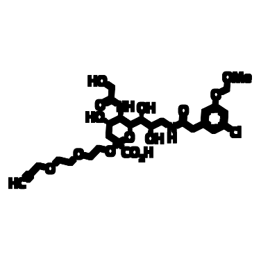 C#CCOCCOCCO[C@]1(C(=O)O)C[C@H](O)[C@@H](NC(=O)CO)[C@H]([C@H](O)[C@H](O)CNC(=O)Cc2cc(Cl)cc(OCOC)c2)O1